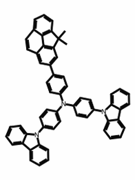 CC1(C)c2cccc3ccc4cc(-c5ccc(N(c6ccc(-n7c8ccccc8c8ccccc87)cc6)c6ccc(-n7c8ccccc8c8ccccc87)cc6)cc5)cc1c4c23